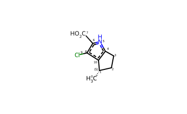 C[C@H]1CCc2[nH]c(C(=O)O)c(Cl)c21